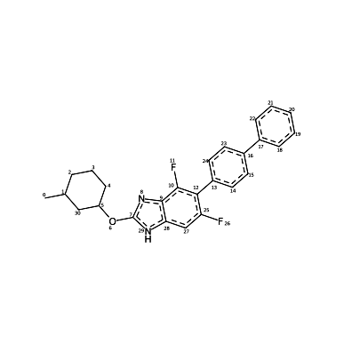 CC1CCCC(Oc2nc3c(F)c(-c4ccc(-c5ccccc5)cc4)c(F)cc3[nH]2)C1